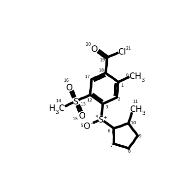 Cc1cc([S+]([O-])C2CCCC2C)c(S(C)(=O)=O)cc1C(=O)Cl